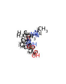 CCc1ccnc(CN[C@@H](COc2cc(-c3c(C)cccc3C)nc(NS(=O)(=O)c3cccc(C(=O)O)c3)n2)CC(C)(C)C)n1